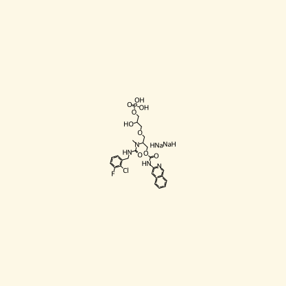 CN(C(=O)NCc1cccc(F)c1Cl)C(COCC(O)COP(=O)(O)O)COC(=O)Nc1cc2ccccc2cn1.[NaH].[NaH]